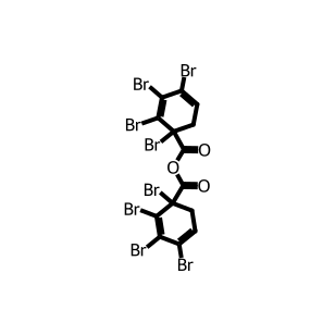 O=C(OC(=O)C1(Br)CC=C(Br)C(Br)=C1Br)C1(Br)CC=C(Br)C(Br)=C1Br